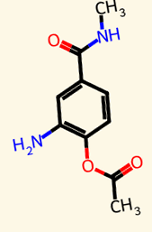 CNC(=O)c1ccc(OC(C)=O)c(N)c1